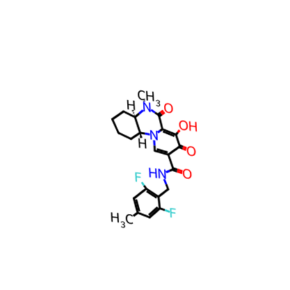 Cc1cc(F)c(CNC(=O)c2cn3c(c(O)c2=O)C(=O)N(C)[C@@H]2CCCC[C@H]23)c(F)c1